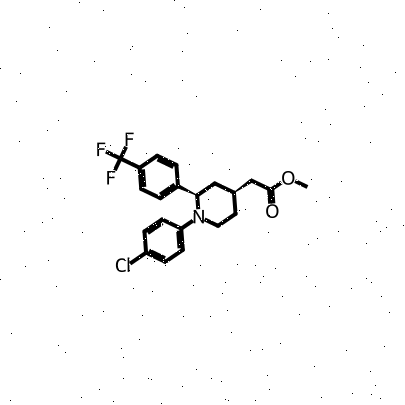 COC(=O)C[C@H]1CCN(c2ccc(Cl)cc2)[C@@H](c2ccc(C(F)(F)F)cc2)C1